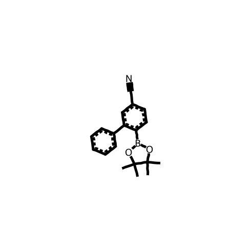 CC1(C)OB(c2ccc(C#N)cc2-c2ccccc2)OC1(C)C